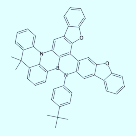 CC(C)(C)c1ccc(N2B3c4cccc5c4N(c4ccccc4C5(C)C)c4cc5c(oc6ccccc65)c(c43)-c3cc4oc5ccccc5c4cc32)cc1